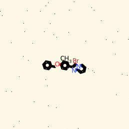 Cc1cc(-c2nc3ccccn3c2Br)ccc1OCc1ccccc1